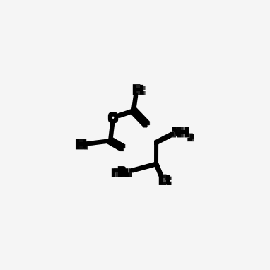 C=C(CC)OC(=C)CC.CCCCC(CC)CN